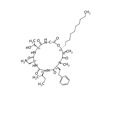 CCCCCCCCCC[C@H]1OC(=O)CNC(=O)[C@H](C(C)O)NC(=O)[C@H](CN)NC(=O)[C@H](C(C)CC)NC(=O)[C@H](CCc2ccccc2)N(C)C(=O)[C@@H]1C